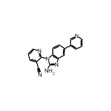 N#Cc1cccnc1-n1c(N)nc2cc(-c3cccnc3)ccc21